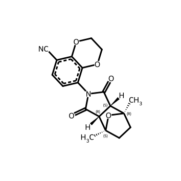 C[C@]12CC[C@](C)(O1)[C@@H]1C(=O)N(c3ccc(C#N)c4c3OCCO4)C(=O)[C@@H]12